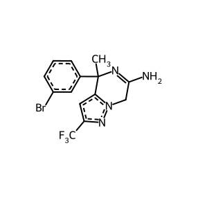 CC1(c2cccc(Br)c2)N=C(N)Cn2nc(C(F)(F)F)cc21